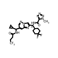 Cn1nnnc1C(=O)N[C@H](c1cn2ncc(C(NC(=O)CCC(F)(F)F)C3CC3)cc2n1)C1CCC(F)(F)CC1